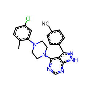 Cc1ccc(Cl)cc1N1CCN(c2ncnc3[nH]nc(-c4ccc(C#N)cc4)c23)CC1